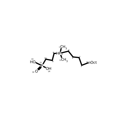 CCCCCCCCCCCC[PH](C)(C)CCCP(=O)(O)O